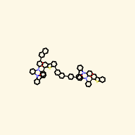 c1ccc(N(c2ccc(-c3ccc(-c4ccc5ccc(-c6cccc7c6sc6c(-c8ccccc8N(c8ccc(-c9ccc%10ccccc%10c9)cc8)c8ccccc8-n8c9ccccc9c9ccccc98)cccc67)cc5c4)cc3)cc2)c2ccccc2-n2c3ccccc3c3ccccc32)c(-c2cccc3c2sc2ccccc23)c1